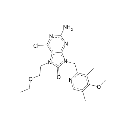 CCOCCn1c(=O)n(Cc2ncc(C)c(OC)c2C)c2nc(N)nc(Cl)c21